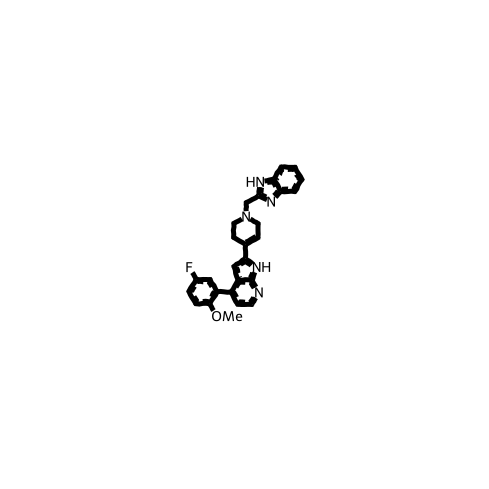 COc1ccc(F)cc1-c1ccnc2[nH]c(C3=CCN(Cc4nc5ccccc5[nH]4)CC3)cc12